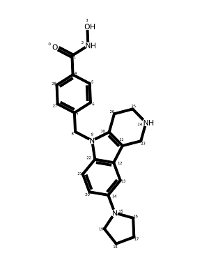 O=C(NO)c1ccc(Cn2c3c(c4cc(N5CCCC5)ccc42)CNCC3)cc1